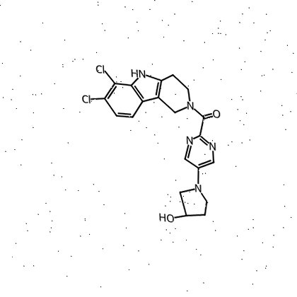 O=C(c1ncc(N2CCC(O)C2)cn1)N1CCc2[nH]c3c(Cl)c(Cl)ccc3c2C1